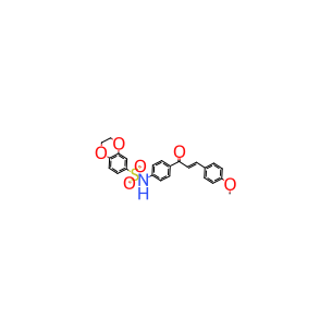 COc1ccc(/C=C/C(=O)c2ccc(NS(=O)(=O)c3ccc4c(c3)OCCO4)cc2)cc1